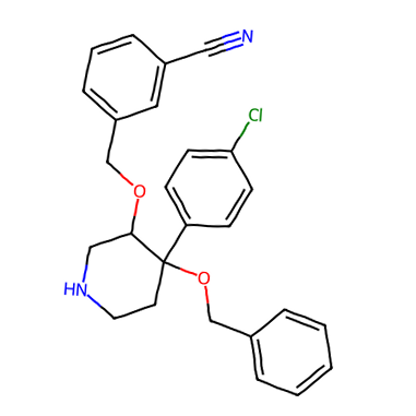 N#Cc1cccc(COC2CNCCC2(OCc2ccccc2)c2ccc(Cl)cc2)c1